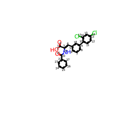 O=C(O)/C(=C/c1cccc(-c2ccc(Cl)cc2Cl)c1)NC(=O)c1ccccc1